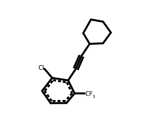 FC(F)(F)c1cccc(Cl)c1C#CC1CCCCC1